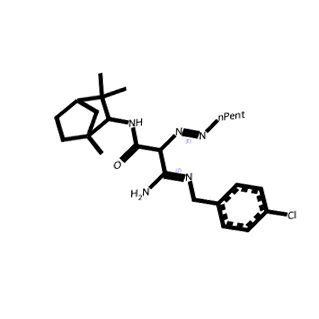 CCCCC/N=N/C(C(=O)NC1C2(C)CCC(C2)C1(C)C)/C(N)=N/Cc1ccc(Cl)cc1